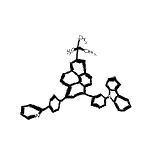 CC(C)(C)c1cc2ccc3c(-c4cccc(-n5c6ccccc6c6ccccc65)c4)cc(C4C=CC(c5ccccn5)=CC4)c4ccc(c1)c2c34